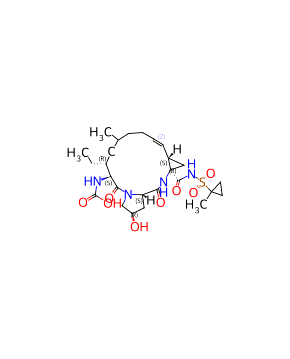 CC[C@@H]1CC(C)CC/C=C\[C@@H]2C[C@@]2(C(=O)NS(=O)(=O)C2(C)CC2)NC(=O)[C@@H]2C[C@@H](O)CN2C(=O)[C@H]1NC(=O)O